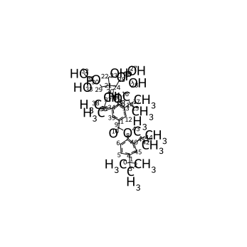 CC(C)(C)c1ccc(OC(=O)c2cc(C(C)(C)C)c(OCC(CO)(COP(O)O)COP(O)O)c(C(C)(C)C)c2)c(C(C)(C)C)c1